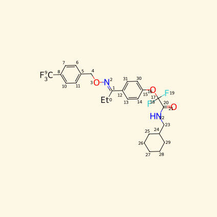 CC/C(=N\OCc1ccc(C(F)(F)F)cc1)c1ccc(OC(F)(F)C(=O)NCC2CCCCC2)cc1